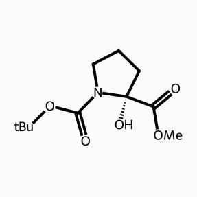 COC(=O)[C@]1(O)CCCN1C(=O)OC(C)(C)C